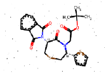 CC(C)(C)OC(=O)CN1C(=O)[C@@H](N2C(=O)c3ccccc3C2=O)CSC[C@H]1c1cccs1